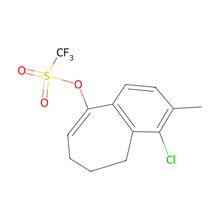 Cc1ccc2c(c1Cl)CCCC=C2OS(=O)(=O)C(F)(F)F